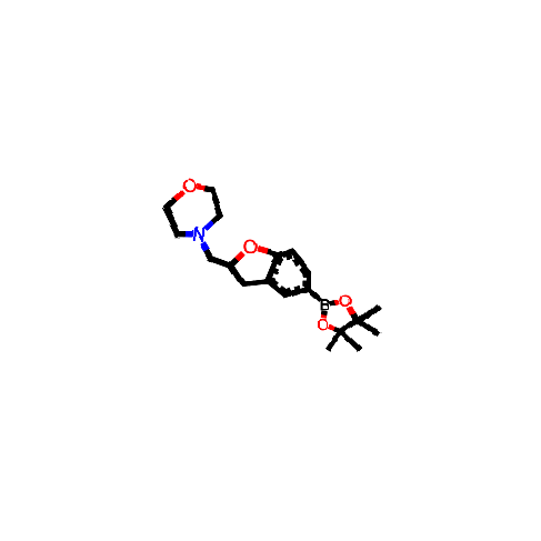 CC1(C)OB(c2ccc3c(c2)CC(CN2CCOCC2)O3)OC1(C)C